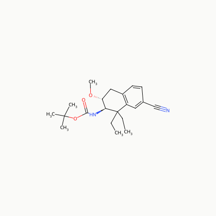 CCC1(CC)c2cc(C#N)ccc2C[C@@H](OC)[C@@H]1NC(=O)OC(C)(C)C